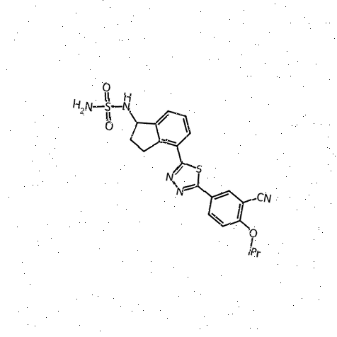 CC(C)Oc1ccc(-c2nnc(-c3cccc4c3CCC4NS(N)(=O)=O)s2)cc1C#N